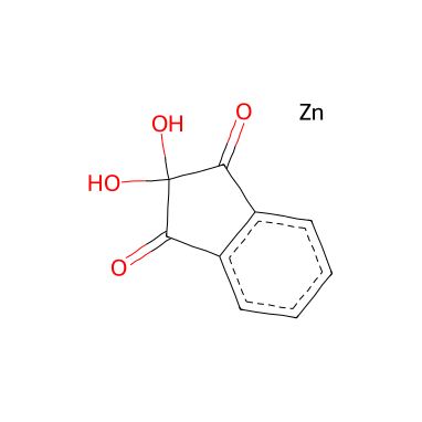 O=C1c2ccccc2C(=O)C1(O)O.[Zn]